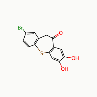 O=C1Cc2cc(Br)ccc2Sc2cc(O)c(O)cc21